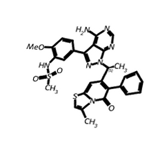 COc1ccc(-c2nn([C@@H](C)c3cc4scc(C)n4c(=O)c3-c3ccccc3)c3ncnc(N)c23)cc1NS(C)(=O)=O